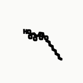 CCCCCCCCCCOc1ccc(C(=O)CC(=O)O)o1